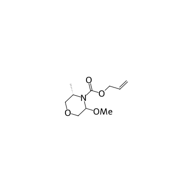 C=CCOC(=O)N1C(OC)COC[C@@H]1C